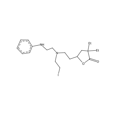 CCC1(CC)CC(CCN(CCI)CCNc2ccccc2)OC1=O